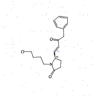 O=C(/C=C/[C@H]1CCC(=O)N1CCCCCl)Cc1ccccc1